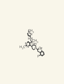 Cc1ncc(C(C)(O)CNc2ccn(C)n2)c(C2CCN(C(=O)Cc3c(F)cccc3F)CC2)n1